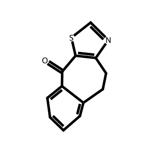 O=C1c2ccccc2CCc2ncsc21